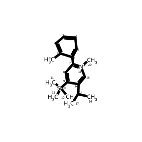 Cc1ccccc1-c1cc([Si](C)(C)C)c(C(C)C)c[n+]1C